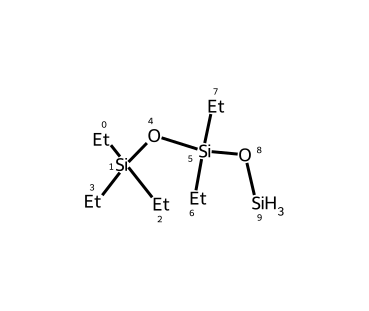 CC[Si](CC)(CC)O[Si](CC)(CC)O[SiH3]